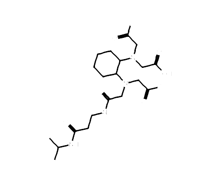 CC(C)NC(=O)CCNC(=O)CN(CC(=O)O)C1CCCCC1N(CC(=O)O)CC(=O)O